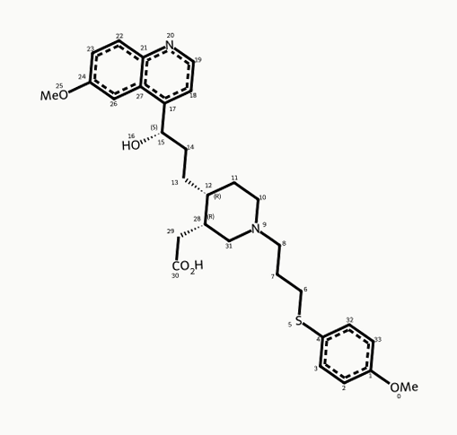 COc1ccc(SCCCN2CC[C@@H](CC[C@H](O)c3ccnc4ccc(OC)cc34)[C@@H](CC(=O)O)C2)cc1